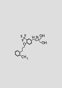 Cc1ccccc1CCCOc1ccc(CCC(N)(CO)CO)cc1C(F)(F)F